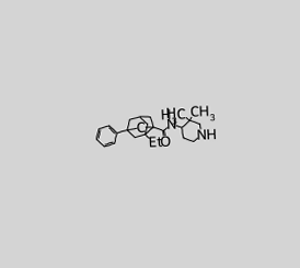 CCC12CC3CC(c4ccccc4)(C1)CC2(C(=O)NC1CCNCC1(C)C)C3